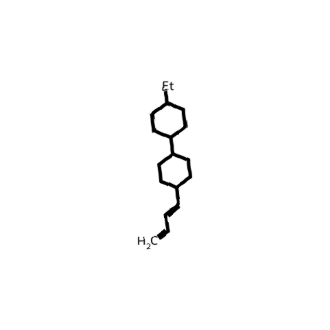 C=CC=CC1CCC(C2CCC(CC)CC2)CC1